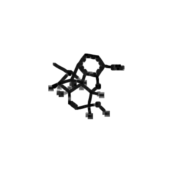 [2H]OC1([2H])C=C[C@@]2([2H])[C@@H]3N(C)CC[C@@]24c2c(ccc(OC)c2OC14[2H])C3([2H])[2H]